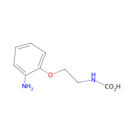 Nc1ccccc1OCCNC(=O)O